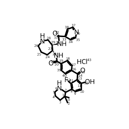 CC1(C)CCCNC1c1ccc(O)c(C(=O)c2ccc(C(=O)N[C@@H]3CCCNC[C@H]3NC(=O)c3ccncc3)cc2)c1F.Cl